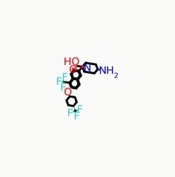 NC1CC2CC(C(=O)O)CC(C1)N2Cc1ccc2c(C(F)(F)F)c(O[C@H]3CC[C@@H](C(F)(F)F)CC3)ccc2c1